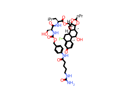 CCCC1O[C@@H]2CC3[C@@H]4C[C@H](F)C5=CC(=O)C=C[C@]5(C)C4[C@@H](O)C[C@]3(C)[C@]2(C(=O)COC(=O)[C@H](CC(C)C)NC(=O)[C@H](CO)NC(=O)OCc2ccc(NC(=O)CCCCNC(N)=O)cc2)O1